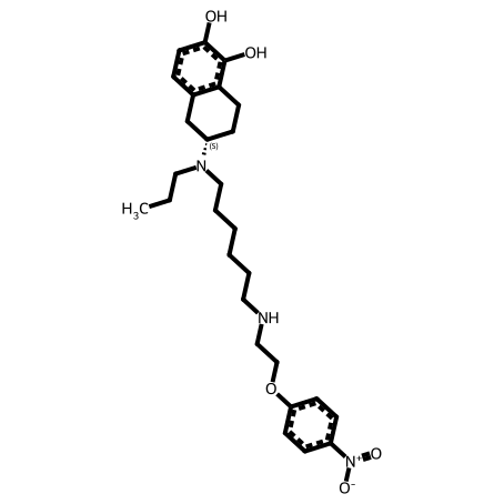 CCCN(CCCCCCNCCOc1ccc([N+](=O)[O-])cc1)[C@H]1CCc2c(ccc(O)c2O)C1